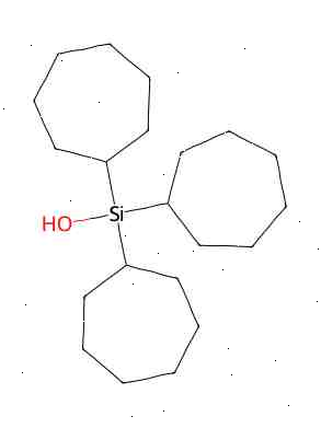 O[Si](C1CCCCCC1)(C1CCCCCC1)C1CCCCCC1